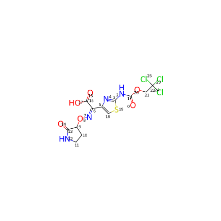 O=C(Nc1nc(/C(=N/OC2CCNC2=O)C(=O)O)cs1)OCC(Cl)(Cl)Cl